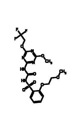 COCCOc1ccccc1S(=O)(=O)NC(=O)Nc1nc(OC)nc(OCC(F)(F)F)n1